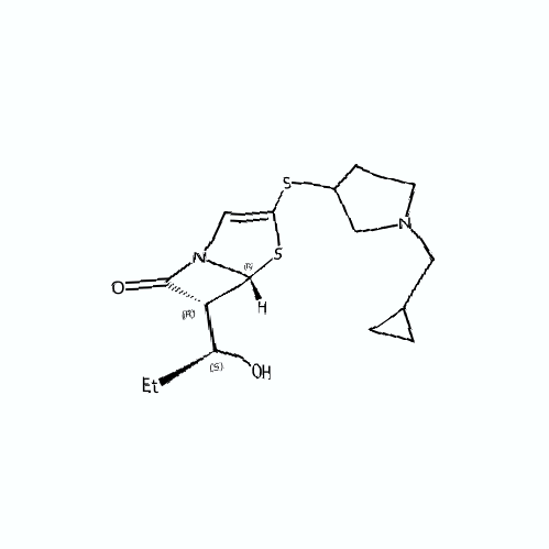 CC[C@H](O)[C@@H]1C(=O)N2C=C(SC3CCN(CC4CC4)C3)S[C@H]12